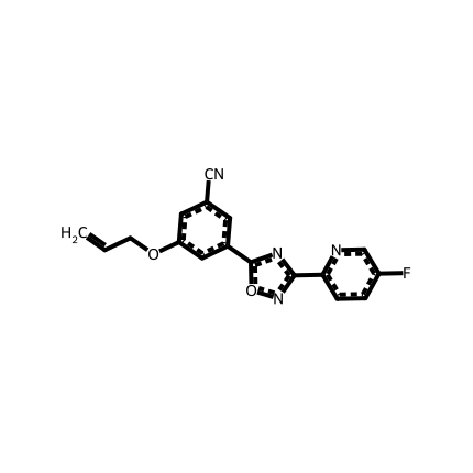 C=CCOc1cc(C#N)cc(-c2nc(-c3ccc(F)cn3)no2)c1